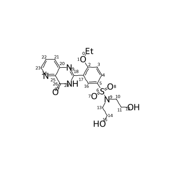 CCOc1ccc(S(=O)(=O)N(CCO)CCO)cc1-c1nc2cccnc2c(=O)[nH]1